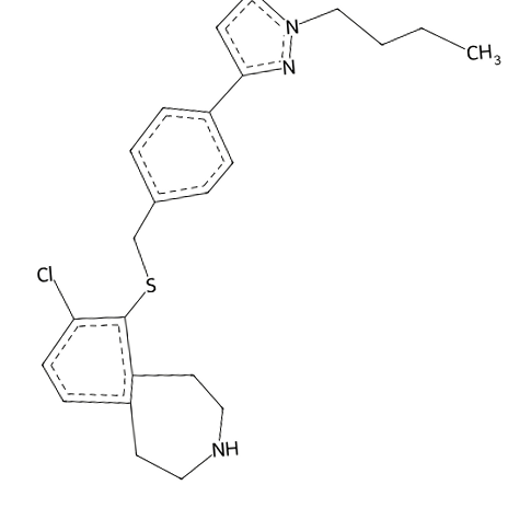 CCCCn1ccc(-c2ccc(CSc3c(Cl)ccc4c3CCNCC4)cc2)n1